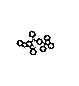 c1ccc(N(c2ccc(C3(c4ccccc4)c4ccccc4-c4ccccc43)cc2)c2cc3c4ccccc4sc3c3c2oc2ccccc23)cc1